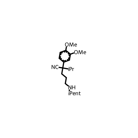 CCCC(C)NCCCC(C#N)(c1ccc(OC)c(OC)c1)C(C)C